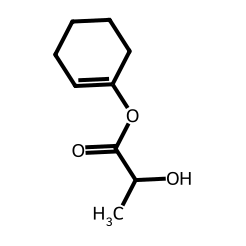 CC(O)C(=O)OC1=CCCCC1